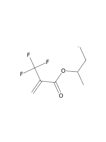 [CH2]CC(C)OC(=O)C(=C)C(F)(F)F